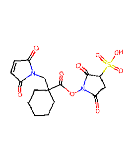 O=C1C=CC(=O)N1CC1(C(=O)ON2C(=O)CC(S(=O)(=O)O)C2=O)CCCCC1